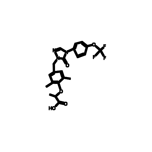 Cc1cc(Cn2ncn(-c3ccc(OC(F)(F)F)cc3)c2=O)cc(C)c1OC(C)C(=O)O